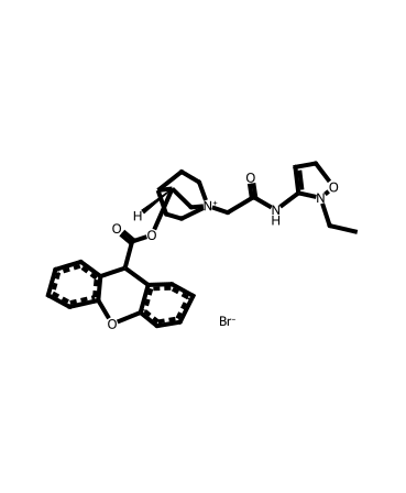 CCN1OCC=C1NC(=O)C[N+]12CCC(CC1)[C@@H](OC(=O)C1c3ccccc3Oc3ccccc31)C2.[Br-]